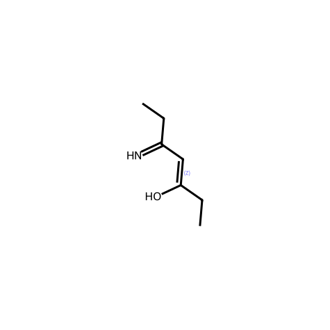 CCC(=N)/C=C(\O)CC